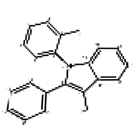 Cc1ccccc1-n1c(-c2ccccc2)c(C)c2ccccc21